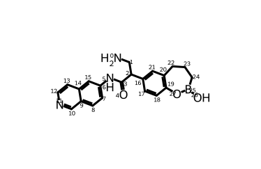 NCC(C(=O)Nc1ccc2cnccc2c1)c1ccc2c(c1)CCCB(O)O2